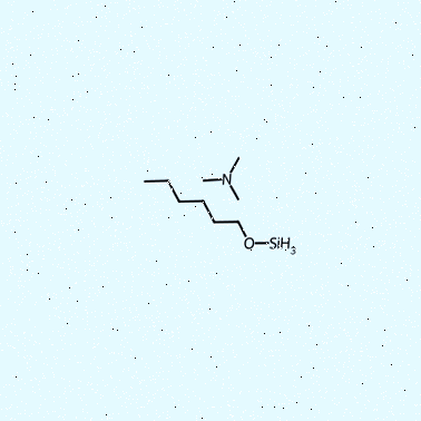 CCCCCCO[SiH3].CN(C)C